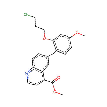 COC(=O)c1ccnc2ccc(-c3ccc(OC)cc3OCCCCl)cc12